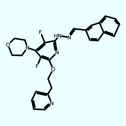 Fc1c(N/N=C/c2ccc3ccccc3c2)nc(OCCc2ccccn2)c(F)c1N1CCOCC1